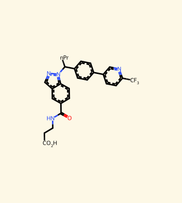 CCCC(c1ccc(-c2ccc(C(F)(F)F)nc2)cc1)n1ncc2cc(C(=O)NCCC(=O)O)ccc21